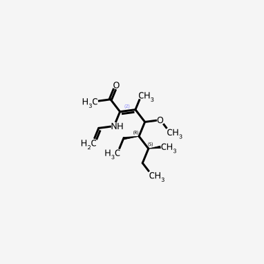 C=CN/C(C(C)=O)=C(/C)C(OC)[C@H](CC)[C@@H](C)CC